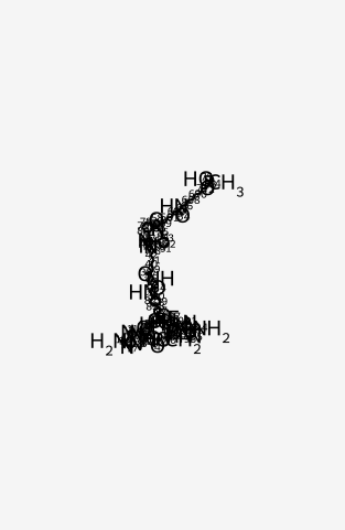 C=C1O[PH](=O)O[C@H]2[C@@H](F)[C@H](n3cnc4c(N)ncnc43)O[C@@H]2COP(=O)(SCc2ccc(NC(=O)CNC(=O)CCCCCn3nnc4c3-c3ccccc3CN(C(=O)CCCCC(=O)NCCCCCCOP(C)O)c3ccccc3-4)cc2)O[C@H]2[C@@H](F)[C@H](n3cnc4c(N)ncnc43)O[C@H]12